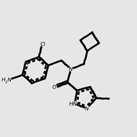 Cc1cc(C(=O)N(Cc2ccc(N)cc2Cl)CC2CCC2)[nH]n1